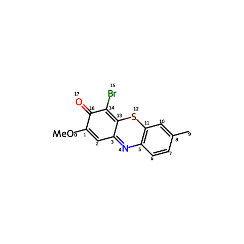 COc1cc2nc3ccc(C)cc3sc-2c(Br)c1=O